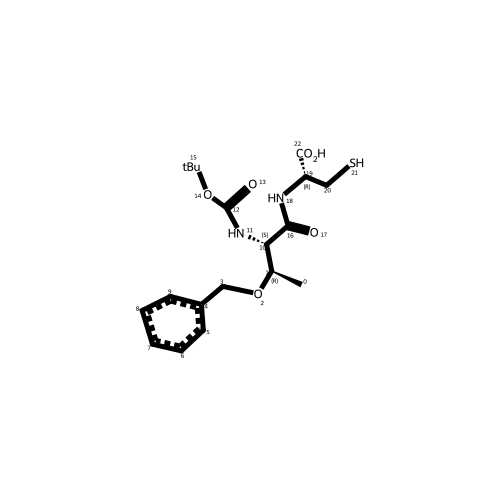 C[C@@H](OCc1ccccc1)[C@H](NC(=O)OC(C)(C)C)C(=O)N[C@@H](CS)C(=O)O